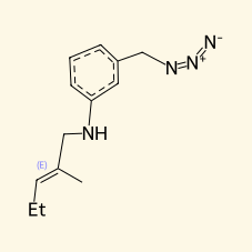 CC/C=C(\C)CNc1cccc(CN=[N+]=[N-])c1